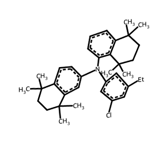 CCc1cc(Cl)cc(N(c2ccc3c(c2)C(C)(C)CCC3(C)C)c2cccc3c2C(C)(C)CCC3(C)C)c1